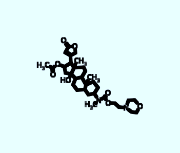 CC(=O)OC1CC2(O)C3CCC4CC(N(C)C(=O)OCCN5CCOCC5)CCC4(C)C3CCC2(C)C1C1=CC(=O)OC1